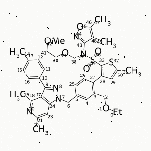 CCOCc1cc(Cn2nc(-c3ccc(C)cc3)c3c(C)nc(C)cc32)ccc1-c1cc(C)sc1S(=O)(=O)N(COCCOC)c1noc(C)c1C